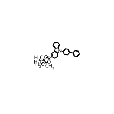 CC1(C)OB(C2=Cc3c(n(-c4ccc(-c5ccccc5)cc4)c4ccccc34)CC2)OC1(C)C